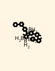 Bc1c(B)c(C)c2c(c1B)c1cc(-c3ccc(C)c(-c4c(C)cccc4-c4ccccc4)c3)c(C)c(B)c1n2-c1ccc(-c2cccc(C3=CC=CCC3)c2)cc1